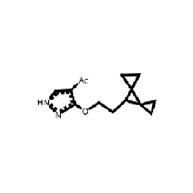 CC(=O)c1c[nH]nc1OCCC1C2(CC2)C12CC2